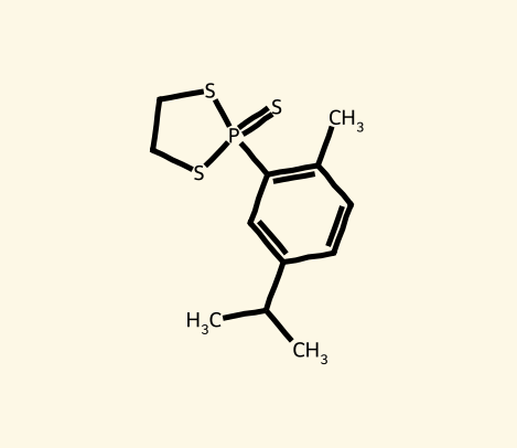 Cc1ccc(C(C)C)cc1P1(=S)SCCS1